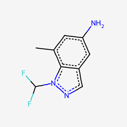 Cc1cc(N)cc2cnn(C(F)F)c12